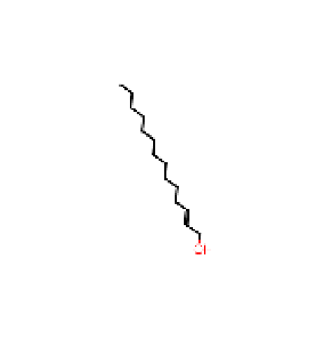 CCCCCCCCCCCC=CCO